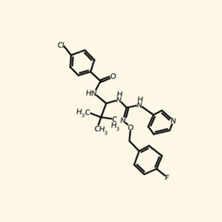 CC(C)(C)C(NC(=O)c1ccc(Cl)cc1)NC(=NOCc1ccc(F)cc1)Nc1cccnc1